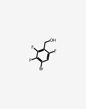 OCc1c(F)cc(Br)c(F)c1F